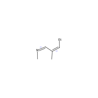 CC/C=C(C)\C=N/C